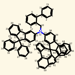 c1ccc(-c2ccccc2CN(c2ccc3c(c2)-c2ccccc2C3(c2ccccc2)c2ccccc2)c2ccc3c(c2)C2(c4ccccc4-3)c3ccccc3-c3cccc4ccc(-c5ccccc5)c2c34)cc1